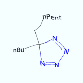 CCCCCCC1(CCCC)N=NN=N1